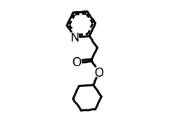 O=C(Cc1ccccn1)OC1CCCCC1